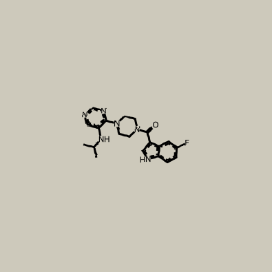 CC(C)Nc1cncnc1N1CCN(C(=O)c2c[nH]c3ccc(F)cc23)CC1